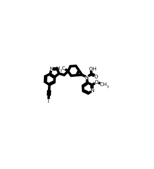 COc1ncccc1N(C(=O)O)C1C2CCC(C)(CC3C=Nc4ccc(C#CI)cc43)CC21